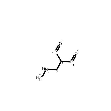 CNCC(P=O)P=O